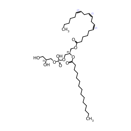 CCCCC/C=C\C/C=C\C/C=C\CCCCC(=O)OC[C@H](COP(=O)(O)OC[C@@H](O)CO)OC(=O)CCCCCCCCCCCCCC